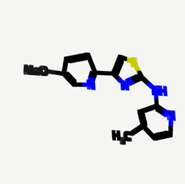 COc1ccc(-c2csc(Nc3cc(C)ccn3)n2)nc1